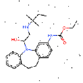 CCOC(=O)Nc1ccc2c(c1)N(C(O)CNC(C)(C)CC)c1ccccc1CC2